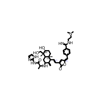 C=C1C(NC(C)C(=O)Nc2ncc[nH]2)CC2[C@](C)(CC[C@@H](O)[C@@]2(C)CO)C1/C=C/C1=CC(=C\c2ccc(C(=N)NCCN(C)C)cc2)/OC1=O